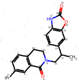 CC(C)c1ccc2c(c1)C(=O)N(CC(C)c1ccc3[nH]c(=O)oc3c1)CC2